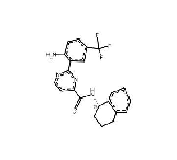 Nc1ccc(C(F)(F)F)cc1-c1nccc(C(=O)N[C@H]2CCCc3ccccc32)n1